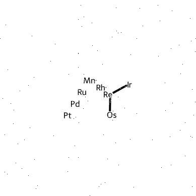 [Mn].[Os][Re][Ir].[Pd].[Pt].[Rh].[Ru]